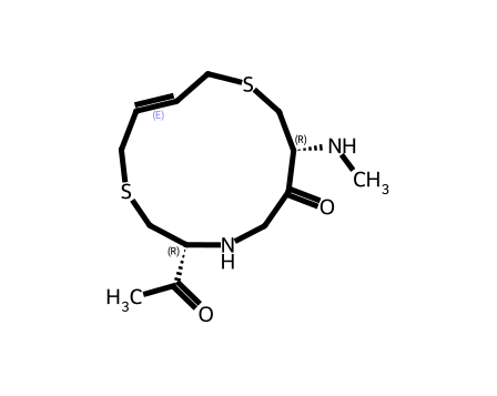 CN[C@H]1CSC/C=C/CSC[C@@H](C(C)=O)NCC1=O